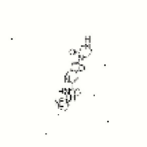 O=C(N[C@H]1CN2CCC1CC2)c1cc2oc(N3CCNCC3=O)cc2cn1